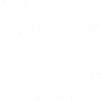 CC(C)(NCCCS(=O)(=O)O)c1ccccc1